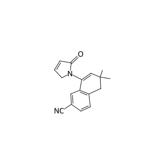 CC1(C)C=C(N2CC=CC2=O)c2cc(C#N)ccc2C1